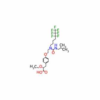 CCOC(Cc1ccc(OCCN(CCCCC(F)(F)C(F)(F)C(F)(F)F)C(=O)NCC(C)C)cc1)C(=O)O